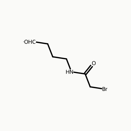 O=[C]CCCNC(=O)CBr